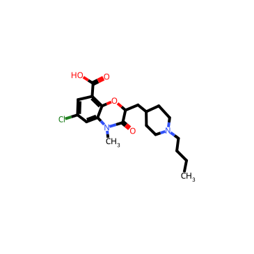 CCCCN1CCC(CC2Oc3c(C(=O)O)cc(Cl)cc3N(C)C2=O)CC1